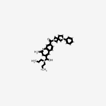 CCCN(CCC)C(O)C1=Cc2ccc(C(=O)N3CC4(CCN(c5ccccc5)C4)C3)cc2N=C(N)C1